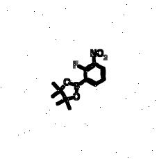 CC1(C)OB(c2cccc([N+](=O)[O-])c2F)OC1(C)C